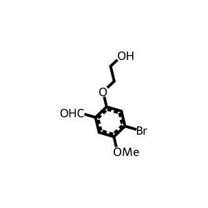 COc1cc(C=O)c(OCCO)cc1Br